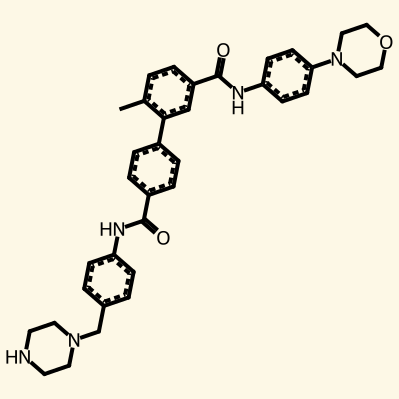 Cc1ccc(C(=O)Nc2ccc(N3CCOCC3)cc2)cc1-c1ccc(C(=O)Nc2ccc(CN3CCNCC3)cc2)cc1